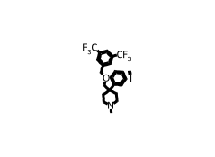 CI.CN1CCC(COCc2cc(C(F)(F)F)cc(C(F)(F)F)c2)(c2ccccc2)CC1